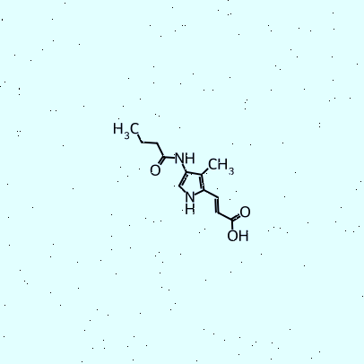 CCCC(=O)Nc1c[nH]c(C=CC(=O)O)c1C